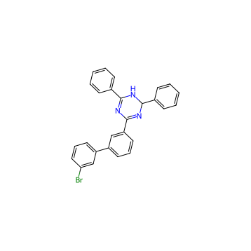 Brc1cccc(-c2cccc(C3=NC(c4ccccc4)NC(c4ccccc4)=N3)c2)c1